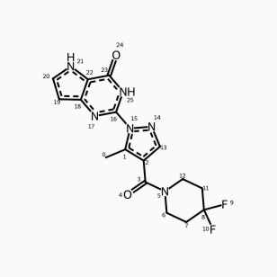 Cc1c(C(=O)N2CCC(F)(F)CC2)cnn1-c1nc2cc[nH]c2c(=O)[nH]1